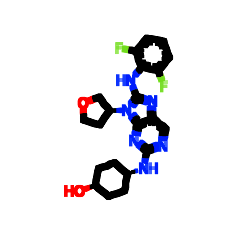 O[C@H]1CC[C@H](Nc2ncc3nc(Nc4c(F)cccc4F)n([C@H]4CCOC4)c3n2)CC1